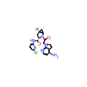 Nc1ccnc2c1ccn2CC(=O)N1C2C[C@@H]2C[C@H]1C(=O)Nc1cccc(Br)n1